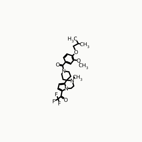 COc1cc(C(=O)N2CCC3(CC2)c2ccc(C(=O)C(F)(F)F)n2CCN3C)ccc1OCC(C)C